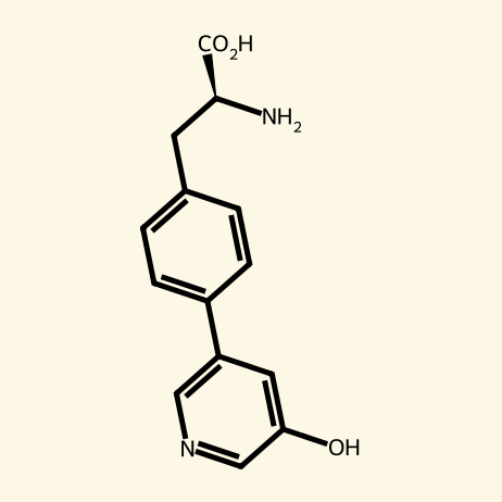 N[C@@H](Cc1ccc(-c2cncc(O)c2)cc1)C(=O)O